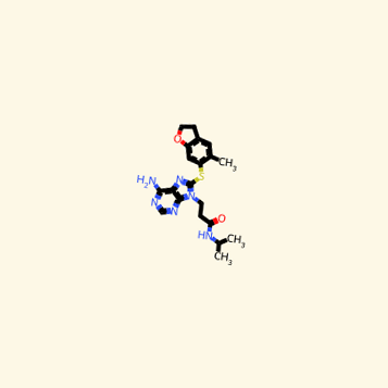 Cc1cc2c(cc1Sc1nc3c(N)ncnc3n1CCC(=O)NC(C)C)OCC2